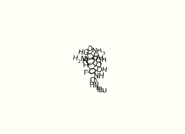 CC[C@@H](C)NCC(=O)Nc1cc(F)c2c(c1O)C(=O)C1=C(O)[C@]3(O)C(=O)C(C(N)=O)=C(O)[C@@H](N)[C@@H]3C[C@@H]1C2